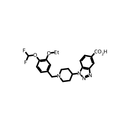 CCOc1cc(CN2CCC(n3nnc4cc(C(=O)O)ccc43)CC2)ccc1OC(F)F